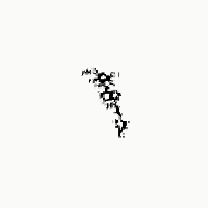 CCN1CCN(CCCNc2ncnc3c2COC=C3C(=O)Nc2c(Cl)c(O)cc(OC)c2Cl)CC1